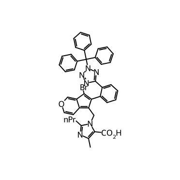 CCCc1nc(C)c(C(=O)O)n1Cc1c2ccocc-2c(Br)c1-c1ccccc1-c1nnn(C(c2ccccc2)(c2ccccc2)c2ccccc2)n1